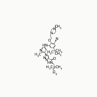 Cc1ncc(Nc2cc(C(C)(C)C)cc(C#N)c2OCCN2CCN(C)CC2)cc1-n1cc(C(=O)NCC(C)(C)C)nn1